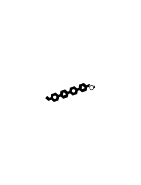 C=CC1CCC(c2ccc(C3CCC(c4ccc(COC)cc4)CC3)cc2)CC1